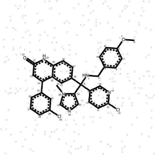 COc1ccc(CNC(c2ccc(Cl)nc2)(c2ccc3[nH]c(=O)cc(-c4cccc(Cl)c4)c3c2)c2cncn2C)cc1